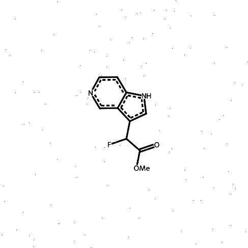 COC(=O)C(F)c1c[nH]c2ccncc12